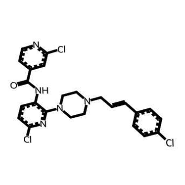 O=C(Nc1ccc(Cl)nc1N1CCN(C/C=C/c2ccc(Cl)cc2)CC1)c1ccnc(Cl)c1